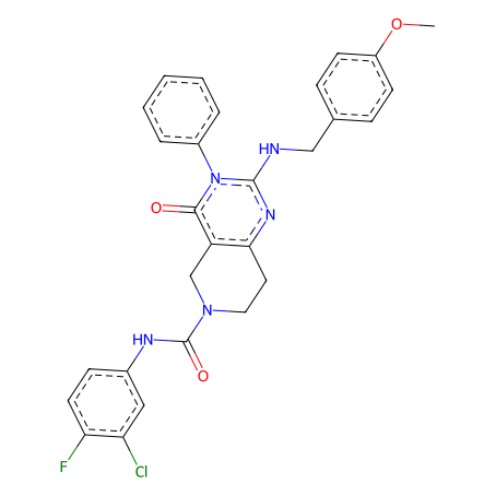 COc1ccc(CNc2nc3c(c(=O)n2-c2ccccc2)CN(C(=O)Nc2ccc(F)c(Cl)c2)CC3)cc1